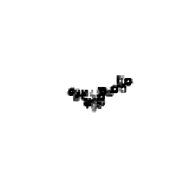 COc1cc2c(Oc3ccc(NC(=O)c4ccccc4)cc3)ccnc2cc1OCC1CCCN1CC[C@H](N)C(=O)OC1CCCC1